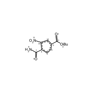 CC(C)COC(=O)c1ccc(C(N)=O)c([N+](=O)[O-])c1